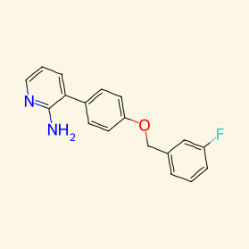 Nc1ncccc1-c1ccc(OCc2cccc(F)c2)cc1